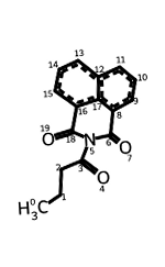 CCCC(=O)N1C(=O)c2cccc3cccc(c23)C1=O